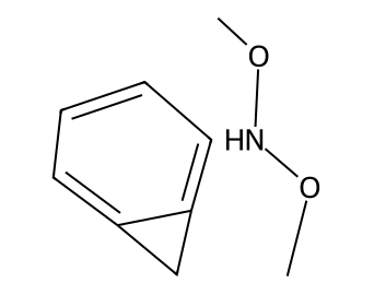 CONOC.c1ccc2c(c1)C2